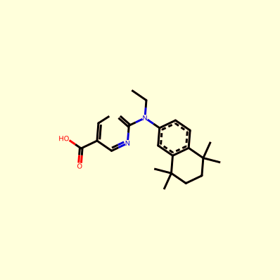 C=C(/N=C\C(=C/C)C(=O)O)N(CC)c1ccc2c(c1)C(C)(C)CCC2(C)C